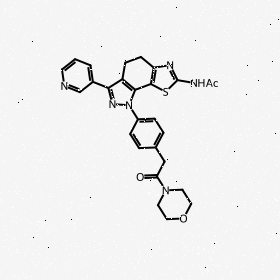 CC(=O)Nc1nc2c(s1)-c1c(c(-c3cccnc3)nn1-c1ccc(CC(=O)N3CCOCC3)cc1)CC2